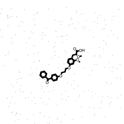 COc1cc(OCCCOc2ccc(C(=O)c3ccccc3)cc2)ccc1CC(OC)C(=O)O